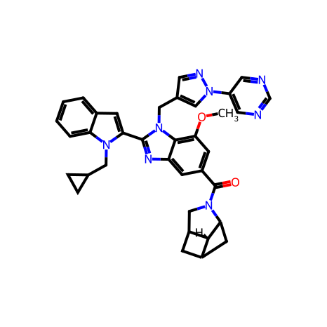 COc1cc(C(=O)N2CC3CC4CC2[C@H]43)cc2nc(-c3cc4ccccc4n3CC3CC3)n(Cc3cnn(-c4cncnc4)c3)c12